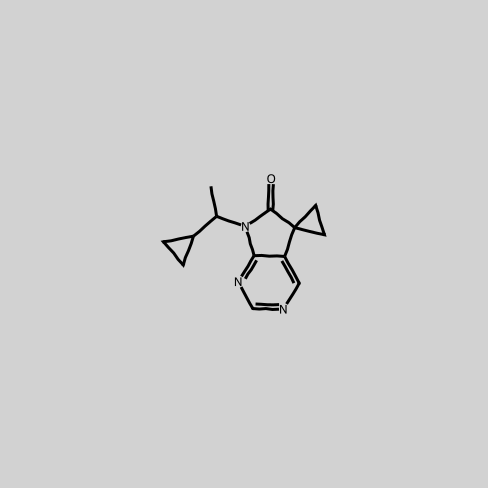 CC(C1CC1)N1C(=O)C2(CC2)c2cncnc21